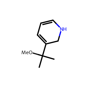 COC(C)(C)C1=CC=CNC1